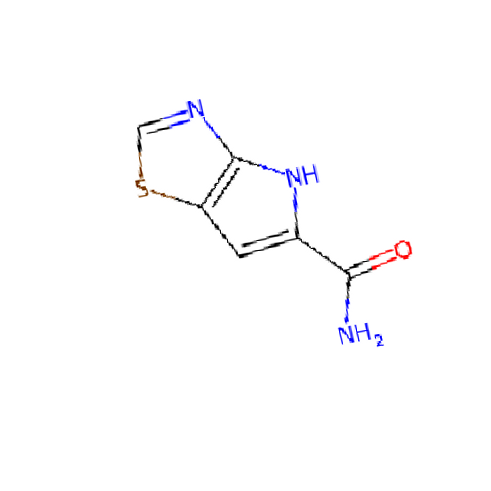 NC(=O)c1cc2scnc2[nH]1